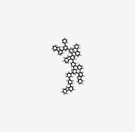 c1ccc(-c2cc(-c3nc(-c4ccccc4-c4ccccc4)nc(-c4ccc(-c5ccc(-c6nc(-c7cccc(-c8ccc(-c9cccc%10c9sc9ccccc9%10)cc8)c7)nc(-c7cccc8c7sc7ccccc78)n6)c(-c6ccccc6)c5)c5c4sc4ccccc45)n3)cc(-c3cccc4c3sc3ccccc34)c2)cc1